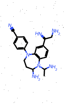 CC(N)N1c2ccc(C(=N)CN)cc2N(c2ccc(C#N)cc2)CCC1N